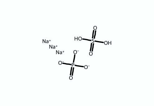 O=P([O-])([O-])[O-].O=S(=O)(O)O.[Na+].[Na+].[Na+]